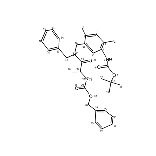 Cc1cc(C)c(NC(=O)OC(C)(C)C)cc1CN(Cc1ccccc1)C(=O)[C@@H](C)NC(=O)OCc1ccccc1